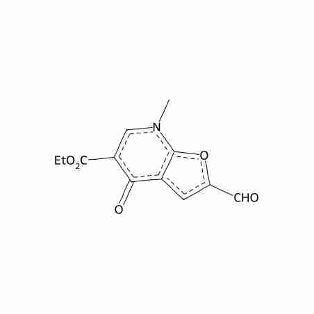 CCOC(=O)c1cn(C)c2oc(C=O)cc2c1=O